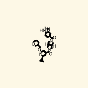 O=C(c1cc(OCC2CCCOC2)nc(C2CC2)c1)N1C[C@@H]2CN(C(=O)c3ccc4[nH]nnc4c3)C[C@H]2C1